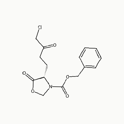 O=C(CCl)CC[C@H]1C(=O)OCN1C(=O)OCc1ccccc1